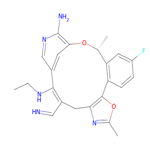 CCN/C1=C(\C=N)Cc2nc(C)oc2-c2ccc(F)cc2[C@@H](C)Oc2cc1cnc2N